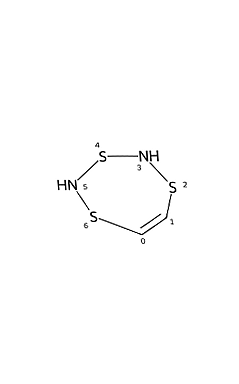 C1=CSNSNS1